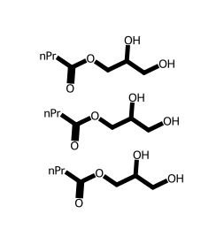 CCCC(=O)OCC(O)CO.CCCC(=O)OCC(O)CO.CCCC(=O)OCC(O)CO